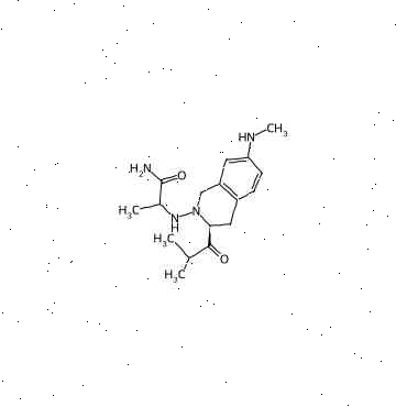 CNc1ccc2c(c1)CN(NC(C)C(N)=O)[C@H](C(=O)C(C)C)C2